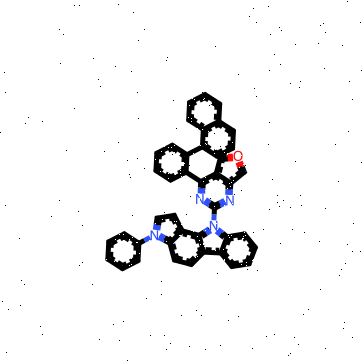 c1ccc(-n2ccc3c2ccc2c4ccccc4n(-c4nc(-c5ccccc5-c5cccc6ccccc56)c5cocc5n4)c23)cc1